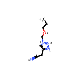 CCCOCn1cc(CC#N)nn1